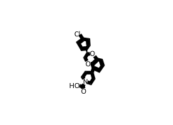 O=C(O)N1CCC(c2cccc3c2OC[C@@H](c2ccc(Cl)cc2)O3)CC1